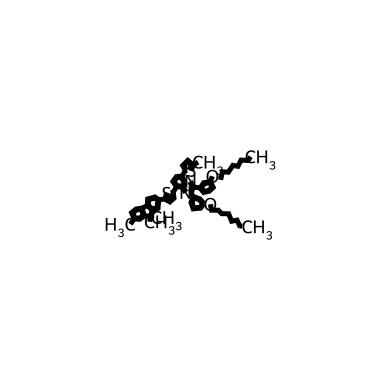 CCCCCCCCOc1cccc(-c2nc3c(-c4ccc(C)s4)ccc(-c4ccc(-c5ccc6c(c5)C(C)(C)c5cc(C)ccc5-6)s4)c3nc2-c2cccc(OCCCCCCCC)c2)c1